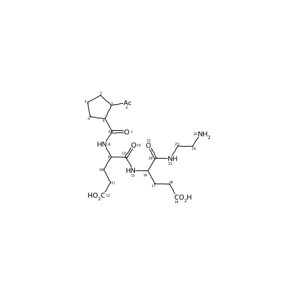 CC(=O)C1CCCC1C(=O)NC(CCC(=O)O)C(=O)NC(CCC(=O)O)C(=O)NCCN